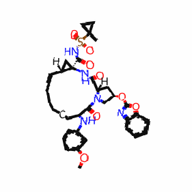 COc1cccc(N[C@H]2CCCCC/C=C\[C@@H]3C[C@@]3(C(=O)NS(=O)(=O)C3(C)CC3)NC(=O)[C@@H]3C[C@@H](Oc4nc5ccccc5o4)CN3C2=O)c1